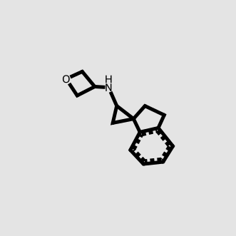 c1ccc2c(c1)CCC21CC1NC1COC1